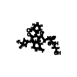 O=C(NC1CC(F)(F)C1)[C@@H](c1ccccc1Cl)N(C(=O)CNS(=O)(=O)NCCO)c1cccc(F)c1